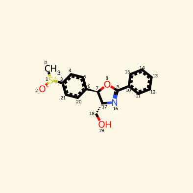 C[S+]([O-])c1ccc([C@H]2OC(c3ccccc3)=N[C@@H]2CO)cc1